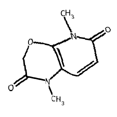 CN1C(=O)COc2c1ccc(=O)n2C